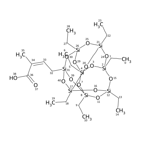 CC[Si]12O[Si]3(CC)O[Si]4(CC)O[Si](CC)(O1)O[Si]1(CC)O[Si](CC)(O2)O[Si](CC)(O3)O[Si](CC=C(C)C(=O)O)(O4)O1